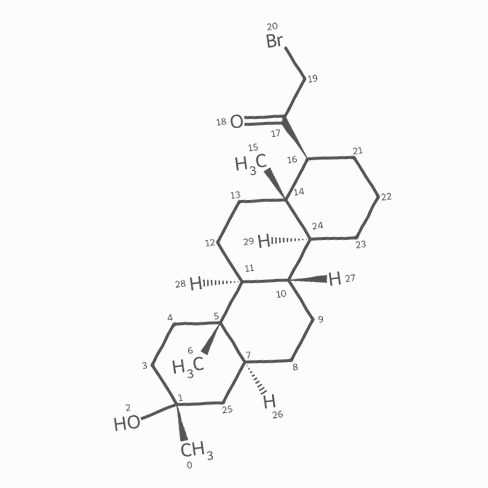 C[C@@]1(O)CC[C@@]2(C)[C@@H](CC[C@@H]3[C@@H]2CC[C@]2(C)[C@@H](C(=O)CBr)CCC[C@@H]32)C1